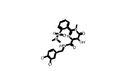 CN(C)S(=O)(=O)c1ccccc1-c1nc(C(=O)NCc2ccc(Cl)c(Cl)c2)c(O)c(=O)n1C